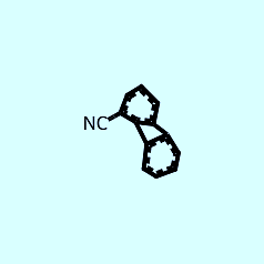 N#Cc1cccc2c1-c1ccccc1-2